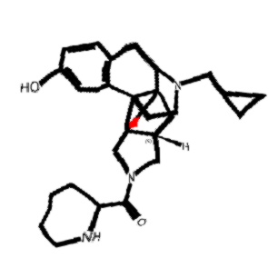 O=C(C1CCCCN1)N1C[C@H]2CC34CCC1C2C31CCN(CC2CC2)C4Cc2ccc(O)cc21